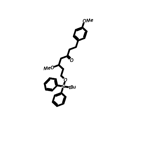 COc1ccc(CCC(=O)CC(CCO[Si](c2ccccc2)(c2ccccc2)C(C)(C)C)OC)cc1